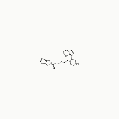 O=C(CCCCCN1CCNCC1c1ccc2cccoc1-2)N1Cc2ccccc2C1